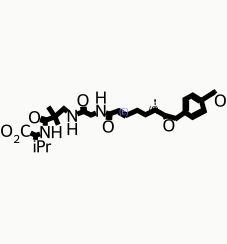 CC(C)C(NC(=O)C(C)(C)CNC(=O)CNC(=O)/C=C/CC[C@H](C)C1OC1c1ccc(CO)cc1)C(=O)O